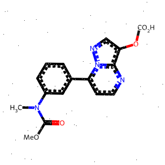 COC(=O)N(C)c1cccc(-c2ccnc3c(OC(=O)O)cnn23)c1